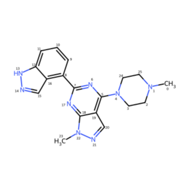 CN1CCN(c2nc(-c3cccc4[nH]ncc34)nc3c2cnn3C)CC1